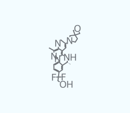 Cc1nnc(N[C@H](C)c2cccc(C(F)(F)CO)c2)c2cc(N3CCC4(COC4)C3)cnc12